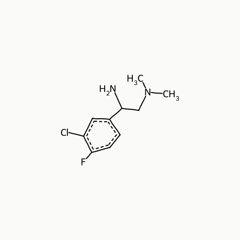 CN(C)CC(N)c1ccc(F)c(Cl)c1